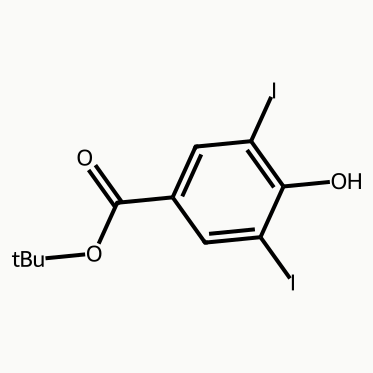 CC(C)(C)OC(=O)c1cc(I)c(O)c(I)c1